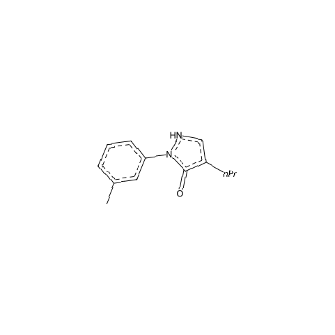 CCCc1c[nH]n(-c2cccc(C)c2)c1=O